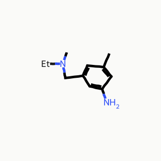 CCN(C)Cc1cc(C)cc(N)c1